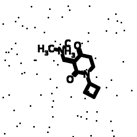 CN(C)C=C1C(=O)CCN(C2CCC2)C1=O